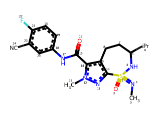 CN=S1(=O)NC(C(C)C)CCc2c1nn(C)c2C(=O)Nc1ccc(F)c(C#N)c1